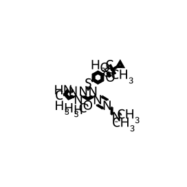 COc1c(Nc2cc(C)[nH]n2)nc(Sc2ccc(S(=O)(=O)C(C)(C)C3CC3)cc2)nc1N1CCN(CCN(C)C)CC1